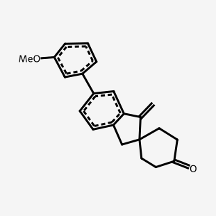 C=C1c2cc(-c3cccc(OC)c3)ccc2CC12CCC(=O)CC2